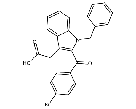 O=C(O)Cc1c(C(=O)c2ccc(Br)cc2)n(Cc2ccccc2)c2ccccc12